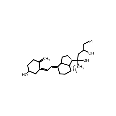 C=C1CC[C@H](O)C/C1=C/C=C1CCC[C@@]2(C)C1CC[C@@H]2[C@@](C)(O)CC(O)CC(C)C